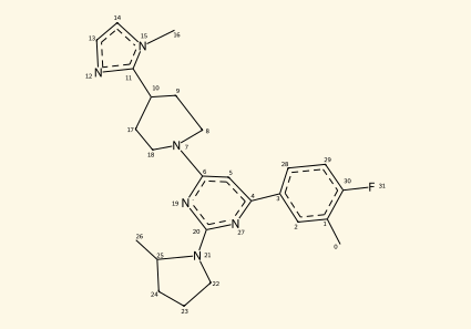 Cc1cc(-c2cc(N3CCC(c4nccn4C)CC3)nc(N3CCCC3C)n2)ccc1F